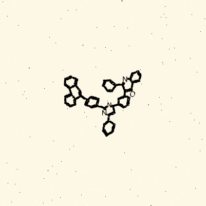 c1ccc(-c2cc(-c3ccc4oc5c6ccccc6nc(-c6ccccc6)c5c4c3)nc(-c3ccc(-c4cc5ccccc5c5ccccc45)cc3)n2)cc1